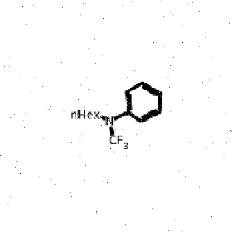 CCCCCCN(c1ccccc1)C(F)(F)F